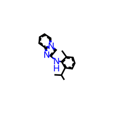 Cc1cccc(C(C)C)c1Nc1cn2ccccc2n1